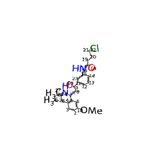 COc1ccc2c(c1)/C(=C/C(=O)c1cccc(NC(=O)CCCCl)c1)NC(C)(C)C2